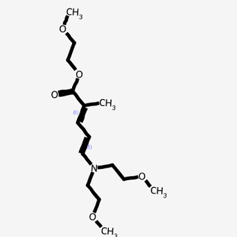 COCCOC(=O)/C(C)=C/C=C/N(CCOC)CCOC